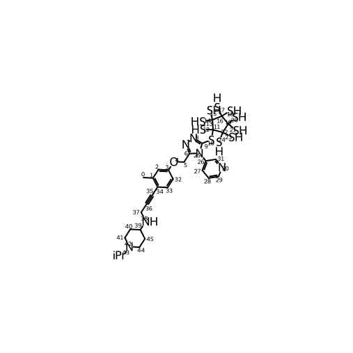 Cc1cc(OCc2nnc(SC3(S)C(S)(S)C(S)(S)C(S)(S)C3(S)S)n2-c2cccnc2)ccc1C#CCNC1CCN(C(C)C)CC1